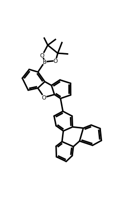 CC1(C)OB(c2cccc3oc4c(-c5ccc6c7ccccc7c7ccccc7c6c5)cccc4c23)OC1(C)C